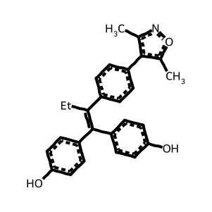 CCC(=C(c1ccc(O)cc1)c1ccc(O)cc1)c1ccc(-c2c(C)noc2C)cc1